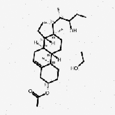 CCC(O)[C@@H](C)[C@H]1CC[C@H]2[C@@H]3CC=C4C[C@@H](OC(C)=O)CC[C@]4(C)[C@H]3CC[C@]12C.CCO